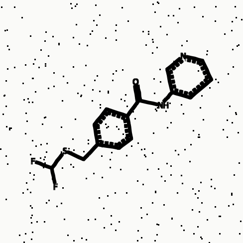 O=C(Nc1cccnc1)c1ccc(CSC(F)F)cc1